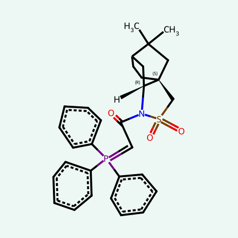 CC1(C)C[C@@]23CCC1C[C@H]2N(C(=O)C=P(c1ccccc1)(c1ccccc1)c1ccccc1)S(=O)(=O)C3